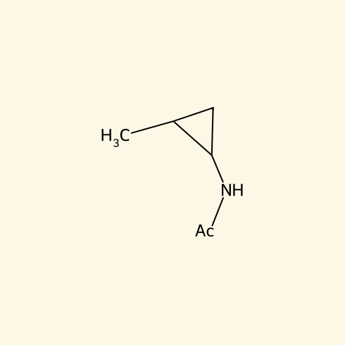 CC(=O)NC1CC1C